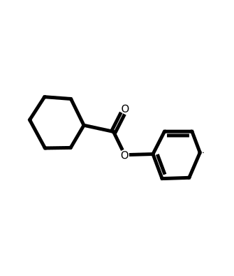 O=C(OC1=CC[CH]C=C1)C1CCCCC1